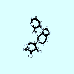 O=c1[nH]ncc(N2CCc3ncn(-c4cccnc4C(F)(F)F)c3C2)c1Cl